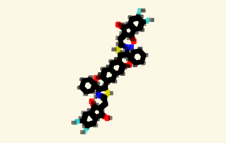 O=C1C(=Cc2nc3c(s2)C2=CC4C=C5OC6(CCCCC6)C6=C(SC(C=C7C(=O)c8cc(F)c(F)cc8C7=O)N6)C5=CC4C=C2OC32CCCCC2)C(=O)c2cc(F)c(F)cc21